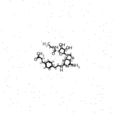 CCNC(=O)[C@H]1OC(N2C=NC3C(N)=NC(NCCc4ccc(CCC(C)=O)cc4)=NC32)[C@H](O)[C@@H]1O